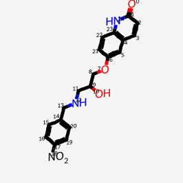 O=c1ccc2cc(OCC(O)CNCc3ccc([N+](=O)[O-])cc3)ccc2[nH]1